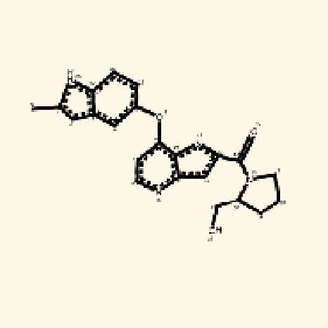 Cc1cc2cc(Oc3ccnc4cc(C(=O)N5CCC[C@H]5CO)sc34)ccc2[nH]1